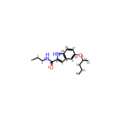 CCCNC(=O)c1cc2cc(OC(C)CCC)ccc2[nH]1